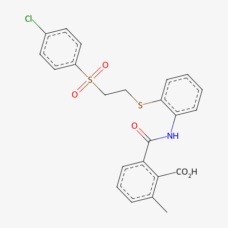 Cc1cccc(C(=O)Nc2ccccc2SCCS(=O)(=O)c2ccc(Cl)cc2)c1C(=O)O